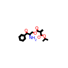 C=C(C(=O)OCC(N)C(=O)c1ccccc1)C(=O)OC(C)C